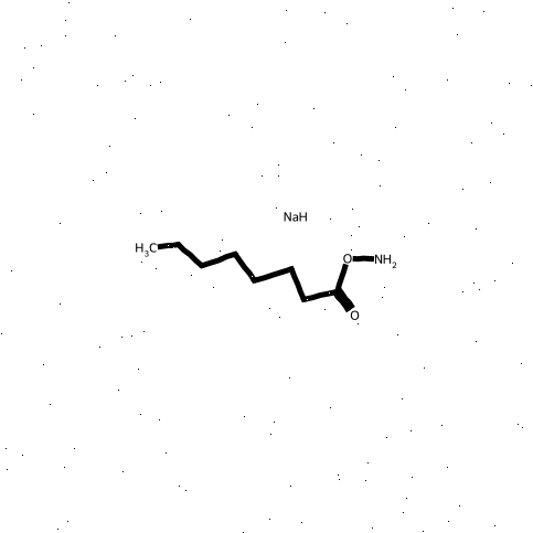 CCCCCCCC(=O)ON.[NaH]